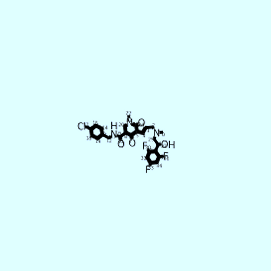 CN(Cc1cc2c(=O)c(C(=O)NCc3ccc(Cl)cc3)cn(C)c2o1)CC(O)c1c(F)cc(F)cc1F